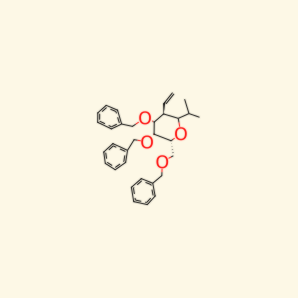 C=C[C@H]1C(C(C)C)O[C@H](COCc2ccccc2)[C@H](OCc2ccccc2)[C@@H]1OCc1ccccc1